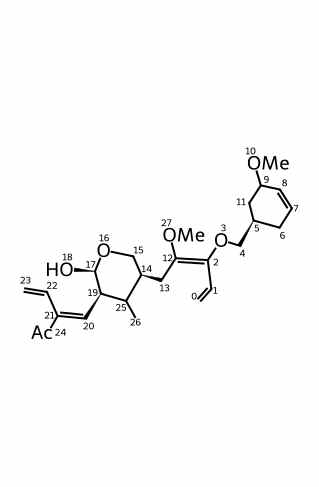 C=C/C(OC[C@@H]1CC=CC(OC)C1)=C(\C[C@@H]1CO[C@H](O)[C@H](/C=C(\C=C)C(C)=O)C1C)OC